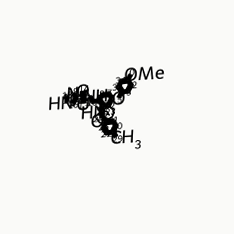 COc1ccc(Oc2ccc(CNS(=O)(=O)c3c[nH]cn3)c(NS(=O)(=O)c3ccc(C)cc3)c2)cc1